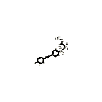 Cc1ccc(C#Cc2ccc(S(=O)(=O)N[C@H](C)C(=O)OC(C)(C)C)cc2)cc1